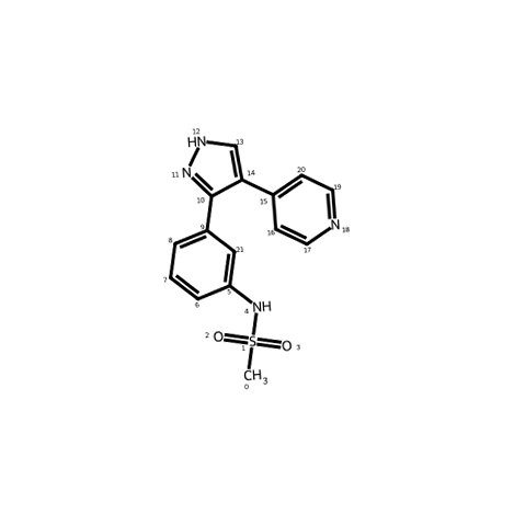 CS(=O)(=O)Nc1cccc(-c2n[nH]cc2-c2ccncc2)c1